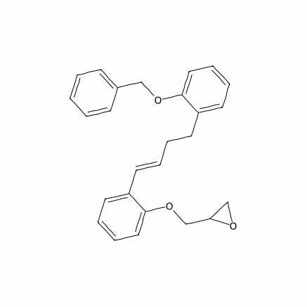 C(=C\c1ccccc1OCC1CO1)/CCc1ccccc1OCc1ccccc1